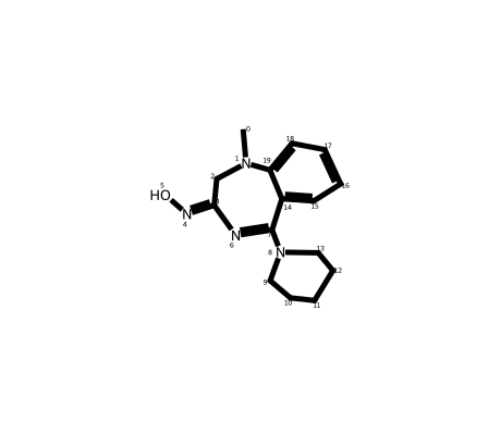 CN1CC(=NO)N=C(N2CCCCC2)c2ccccc21